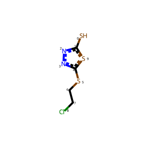 Sc1nnc(SCCCl)s1